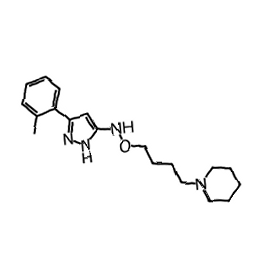 Cc1ccccc1-c1cc(NOCCCCN2CCCCC2)[nH]n1